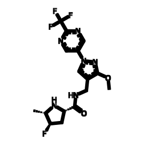 COc1nn(-c2cnc(C(F)(F)F)nc2)cc1CNC(=O)[C@@H]1C[C@@H](F)[C@H](C)N1